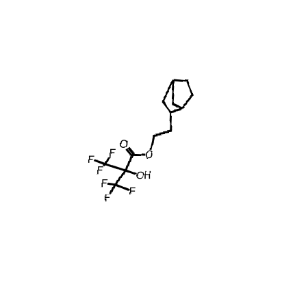 O=C(OCCC1CC2CCC1C2)C(O)(C(F)(F)F)C(F)(F)F